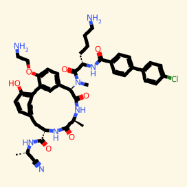 C[C@@H]1NC(=O)[C@@H](N(C)C(=O)[C@H](CCCCN)NC(=O)c2ccc(-c3ccc(Cl)cc3)cc2)c2ccc(OCCN)c(c2)-c2cc(ccc2O)C[C@@H](C(=O)N[C@@H](C)C#N)NC1=O